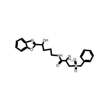 NC(CS(=O)(=O)Cc1ccccc1)C(=O)NCCCC(O)c1nc2ccccc2o1